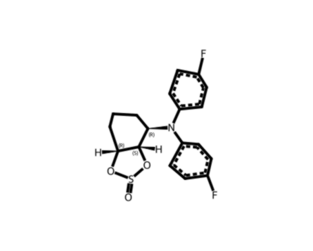 O=S1O[C@H]2[C@H](N(c3ccc(F)cc3)c3ccc(F)cc3)CCC[C@H]2O1